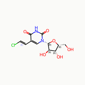 O=c1[nH]c(=O)n([C@@H]2O[C@H](CO)[C@H](O)[C@H]2O)cc1/C=C/Cl